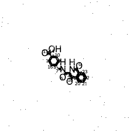 O=C1NC(C(=O)NC[C@H]2CC[C@H](C(=O)O)CC2)C(=O)c2ccccc21